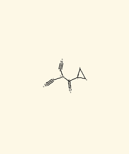 N#CN(C#N)C(=O)C1CC1